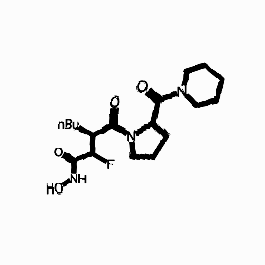 CCCCC(C(=O)N1CCCC1C(=O)N1CCCCC1)C(F)C(=O)NO